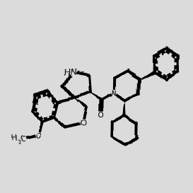 COc1cccc2c1COC[C@]21CNC[C@H]1C(=O)N1CC[C@@H](c2ccccc2)C[C@H]1C1CCCCC1